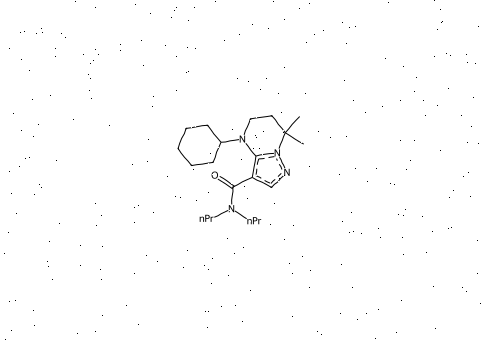 CCCN(CCC)C(=O)c1cnn2c1N(C1CCCCC1)CCC2(C)C